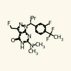 CC(C)[C@@H](c1ccc(C(C)(F)F)c(F)c1)n1nc(CF)c2c(=O)[nH]c(N(C)C)nc21